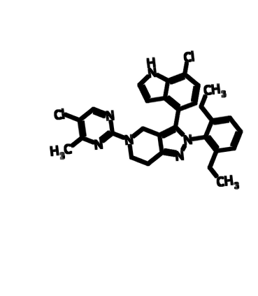 CCc1cccc(CC)c1-n1nc2c(c1-c1ccc(Cl)c3[nH]ccc13)CN(c1ncc(Cl)c(C)n1)CC2